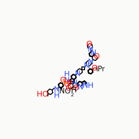 CC(C)Oc1ccccc1[C@H]1CN([C@@H]2CCOc3nc(N4CCOCC4)ccc32)CCN1C1CC2(CCN(c3ccc(C(=O)NS(=O)(=O)c4ccc(NCC5CCC(C)(O)CC5)c([N+](=O)[O-])c4)c(N4c5cc6cc[nH]c6nc5O[C@H]5COCC[C@@H]54)c3)CC2)C1